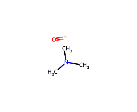 CN(C)C.O=[P]